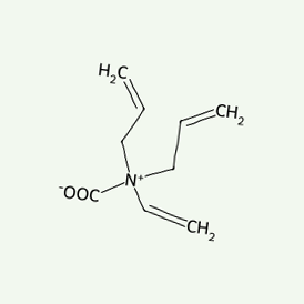 C=CC[N+](C=C)(CC=C)C(=O)[O-]